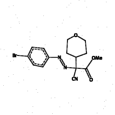 COC(=O)C(C#N)(/N=N/c1ccc(Br)cc1)C1CCOCC1